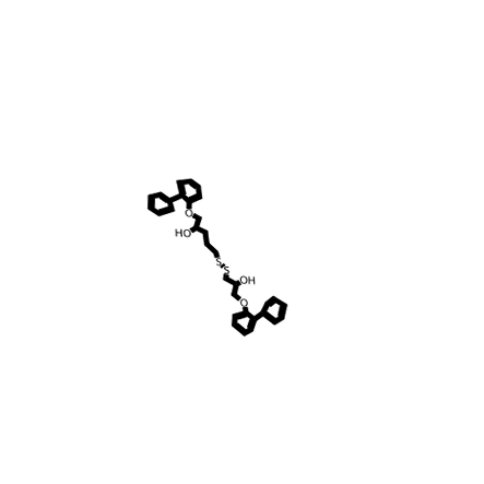 OC(CCCSSCC(O)COc1ccccc1-c1ccccc1)COc1ccccc1-c1ccccc1